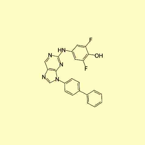 Oc1c(F)cc(Nc2ncc3ncn(-c4ccc(-c5ccccc5)cc4)c3n2)cc1F